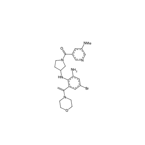 C=C(c1cc(Br)cc(N)c1NC1CCN(C(=O)c2cncc(NC)c2)C1)N1CCOCC1